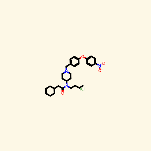 CCCCN(C(=O)CC1CCCCC1)C1CCN(Cc2ccc(Oc3ccc([N+](=O)[O-])cc3)cc2)CC1.Cl